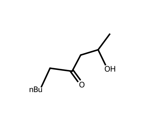 [CH2]CCCCC(=O)CC(C)O